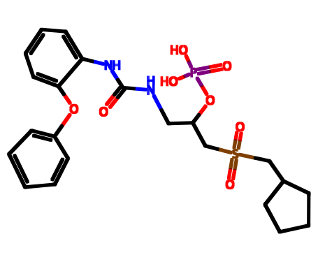 O=C(NCC(CS(=O)(=O)CC1CCCC1)OP(=O)(O)O)Nc1ccccc1Oc1ccccc1